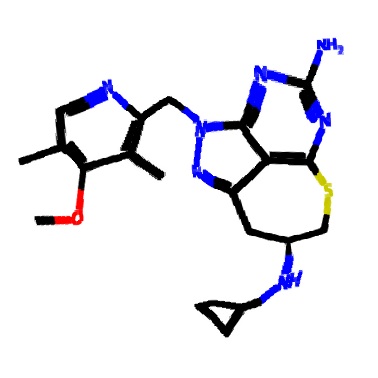 COc1c(C)cnc(Cn2nc3c4c(nc(N)nc42)SC[C@@H](NC2CC2)C3)c1C